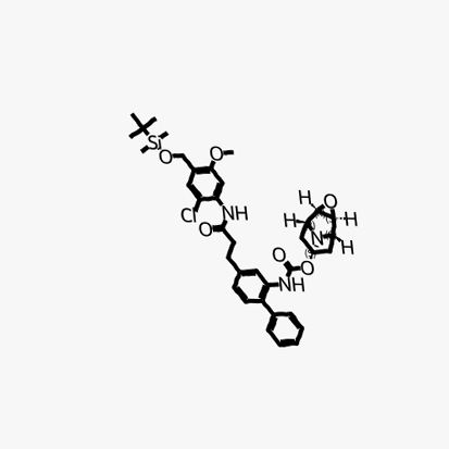 COc1cc(NC(=O)CCc2ccc(-c3ccccc3)c(NC(=O)O[C@@H]3C[C@@H]4[C@H]5O[C@H]5[C@H](C3)N4C)c2)c(Cl)cc1CO[Si](C)(C)C(C)(C)C